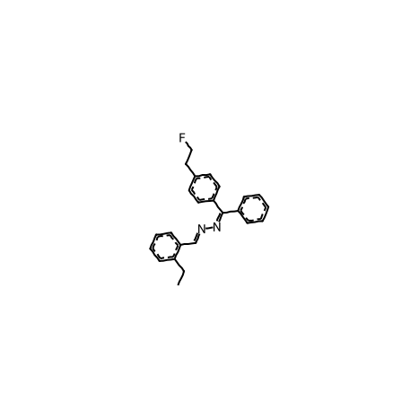 CCc1ccccc1C=NN=C(c1ccccc1)c1ccc(CCF)cc1